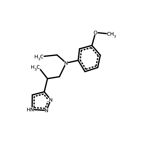 CCN(CC(C)c1c[nH]nn1)c1cccc(OC)c1